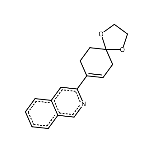 C1=C(c2cc3ccccc3cn2)CCC2(C1)OCCO2